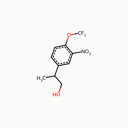 C[C](CO)c1ccc(OC(F)(F)F)c([N+](=O)[O-])c1